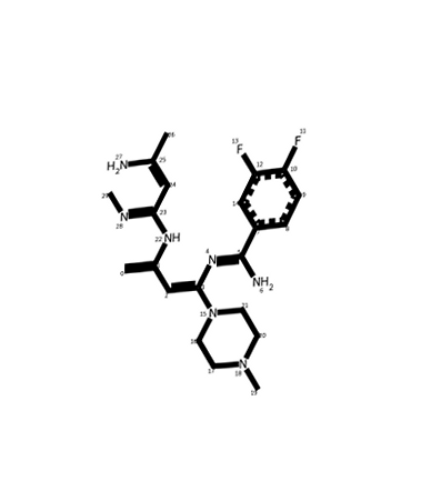 C=C(/C=C(\N=C(/N)c1ccc(F)c(F)c1)N1CCN(C)CC1)NC(/C=C(/C)N)=N/C